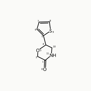 O=C1COC(c2cccs2)CN1